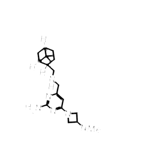 CNC1CN(c2cc(CNC[C@H]3CC[C@@H]4C[C@H]3C4(C)C)nc(N)n2)C1